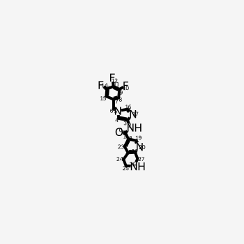 O=C(Nc1cn(Cc2cc(F)c(F)c(F)c2)cn1)c1cnc2c(c1)CCNC2